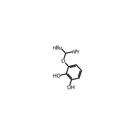 CCCCC(CCC)Oc1cccc(O)c1O